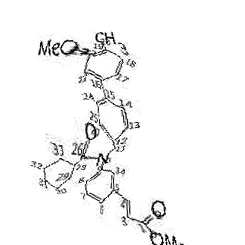 COC(=O)/C=C/c1cccc(N(Cc2ccc(-c3ccc(C)c(OC)c3)cc2)C(=O)C2CCCCC2)c1